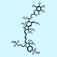 C=C1N=C(/C=C/C=C/C=C2/N(CCCS(=O)(=O)O)c3ccc(S(=O)(=O)O)cc3C2(C)C)C(C)(C)/C1=C/C(=C\C)C(=O)N(C)OCC(=O)Oc1c(Cl)c(Cl)c(Cl)c(Cl)c1Cl